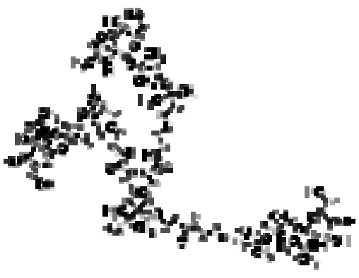 CC(=O)NC1C(OCC(C)(C)COC(C)(C)CCOCCNC(=O)CCOCC(COCCC(=O)NCCOCCC(C)(C)OCCC(C)(C)OC2OC(CO)C(O)C(O)C2NC(C)=O)(COCCC(=O)NCCOCCC(C)(C)OCCC(C)(C)OC2OC(CO)C(O)C(O)C2NC(C)=O)C(C)(C)C)OC(CO)C(O)C1O